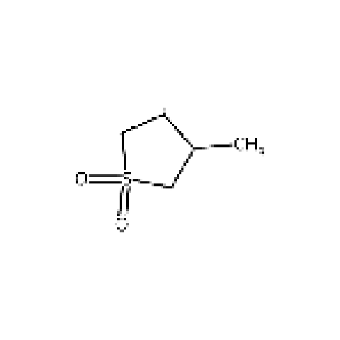 CC1[CH]CS(=O)(=O)C1